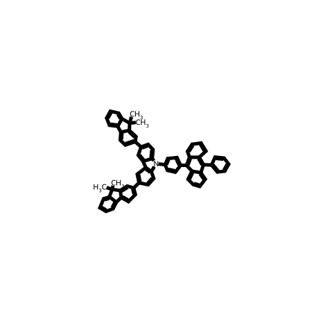 CC1(C)c2ccccc2-c2ccc(-c3ccc4c(c3)c3cc(-c5ccc6c(c5)C(C)(C)c5ccccc5-6)ccc3n4-c3ccc(-c4c5ccccc5c(-c5ccccc5)c5ccccc45)cc3)cc21